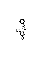 CC[C@@H]1CC(=O)N[C@H]1C(=O)OCc1ccccc1